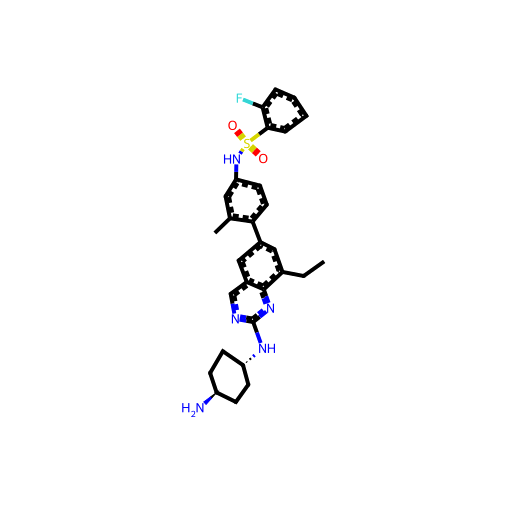 CCc1cc(-c2ccc(NS(=O)(=O)c3ccccc3F)cc2C)cc2cnc(N[C@H]3CC[C@H](N)CC3)nc12